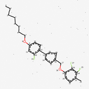 CCCCCCCCOc1ccc(-c2ccc(COc3ccc(C)c(F)c3F)cc2)c(F)c1